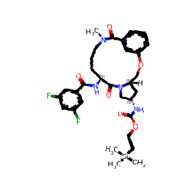 CN1CCC[C@H](NC(=O)c2cc(F)cc(F)c2)C(=O)N2C[C@@H](NC(=O)OCC[Si](C)(C)C)C[C@H]2COc2cccc(c2)C1=O